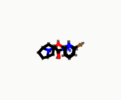 NC(=O)CN1C2CCC1CC(Oc1cccc(Br)n1)C2